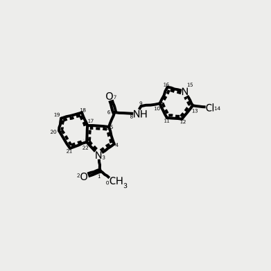 CC(=O)n1cc(C(=O)NCc2ccc(Cl)nc2)c2ccccc21